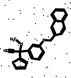 C#CC(OC)(c1cccc(OCc2ccc3ccccc3c2)c1)c1nccs1